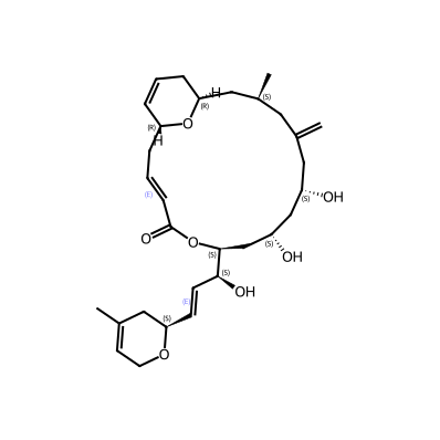 C=C1C[C@H](C)C[C@@H]2CC=C[C@@H](C/C=C/C(=O)O[C@H]([C@@H](O)/C=C/[C@@H]3CC(C)=CCO3)C[C@@H](O)C[C@@H](O)C1)O2